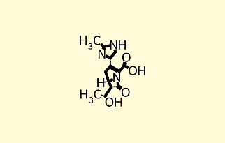 CC1=N[C@@H](C2=C(C(=O)O)N3C(=O)[C@H]([C@@H](C)O)[C@H]3C2)CN1